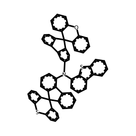 c1ccc2c(c1)Oc1ccccc1C21c2ccccc2-c2cc(N(c3cccc4c3-c3ccccc3C43c4ccccc4Sc4ccccc43)c3cccc4c3sc3ccccc34)ccc21